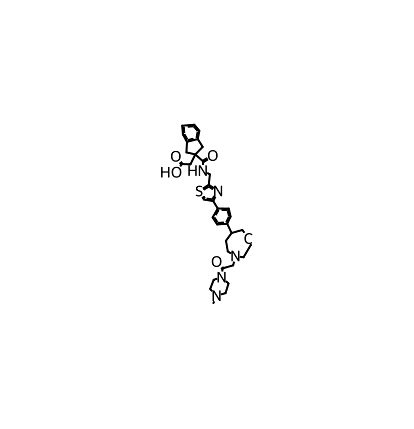 CN1CCN(C(=O)CN2CCCCC(c3ccc(-c4csc(CNC(=O)C5(CC(=O)O)Cc6ccccc6C5)n4)cc3)CC2)CC1